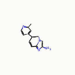 Cc1cc(-c2ccc3nc(N)cn3c2)ccn1